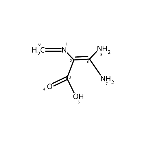 C=NC(C(=O)O)=C(N)N